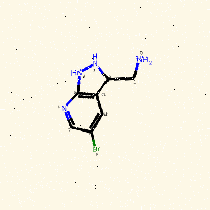 NCC1NNc2ncc(Br)cc21